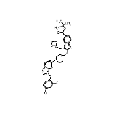 CC(C)(C)OC(=O)c1ccc2nc(CN3CCC(c4ccc5ccn(Cc6ccc(Cl)cc6F)c5c4)CC3)n(C[C@@H]3CCO3)c2c1